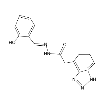 O=C(Cc1cccc2[nH]nnc12)NN=Cc1ccccc1O